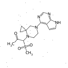 CC(=O)C(N1CCN(c2ncnc3[nH]ccc23)CC12CC2)S(C)(=O)=O